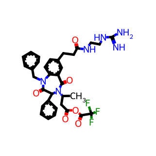 CC(CC(=O)OC(=O)C(F)(F)F)N1C(=O)c2cc(CCC(=O)NCCNC(=N)N)ccc2N(Cc2ccccc2)C(=O)C1c1ccccc1